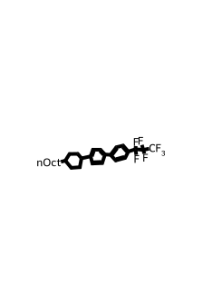 CCCCCCCCC1CCC(c2ccc(-c3ccc(C(F)(F)C(F)(F)C(F)(F)F)cc3)cc2)CC1